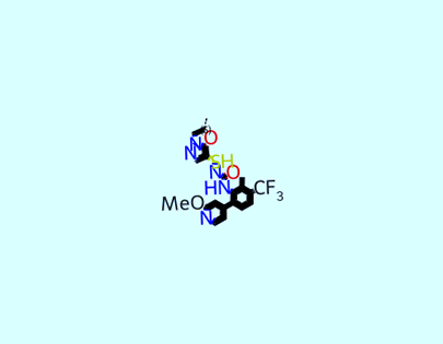 COc1cc(-c2ccc(C(F)(F)F)c(C)c2NC(=O)N=[SH]c2cnn3c2O[C@@H](C)C3)ccn1